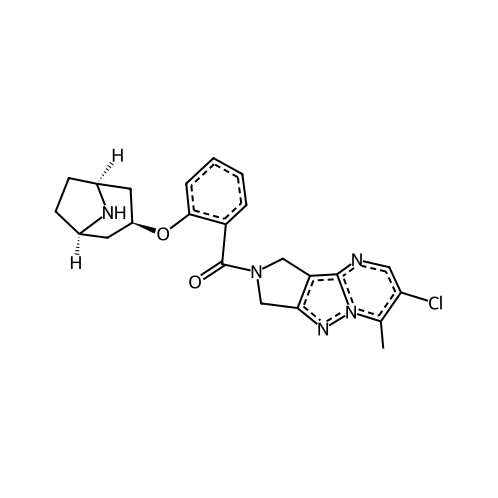 Cc1c(Cl)cnc2c3c(nn12)CN(C(=O)c1ccccc1O[C@H]1C[C@H]2CC[C@@H](C1)N2)C3